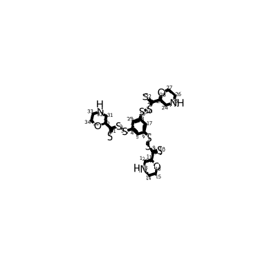 S=C(SSc1cc(SSC(=S)C2CNCCO2)cc(SSC(=S)C2CNCCO2)c1)C1CNCCO1